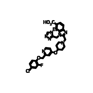 CCn1cnnc1Cn1c(CN2CCC(Oc3ccnc(COc4ccc(Cl)cc4F)c3)CC2)nc2ccc(C(=O)O)cc21